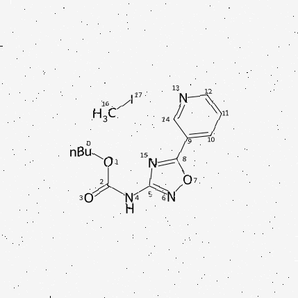 CCCCOC(=O)Nc1noc(-c2cccnc2)n1.CI